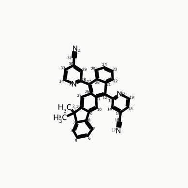 CC1(C)c2ccccc2-c2cc3c(-c4cc(C#N)ccn4)c4ccccc4c(-c4cc(C#N)ccn4)c3cc21